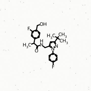 CC(C(=O)NCc1cc(C(C)(C)C)nn1-c1ccc(F)cc1)c1ccc(CO)c(F)c1